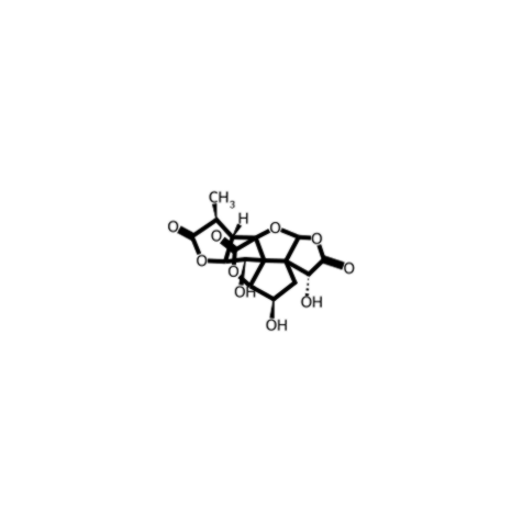 C[C@@H]1C(=O)OC2[C@H]1C13OC4OC(=O)[C@H](O)C45C[C@@H](O)C(OC1=O)C35[C@H]2O